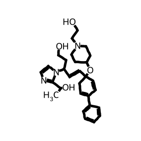 CC(O)c1nccn1C(/C=C/C1(OC2CCN(CCO)CC2)C=CC(c2ccccc2)=CC1)CCO